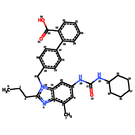 CCCc1nc2c(C)cc(NC(=O)NC3CCCCC3)cc2n1Cc1ccc(-c2ccccc2C(=O)O)cc1